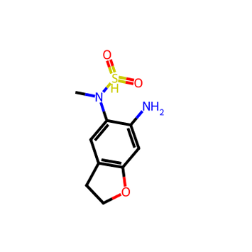 CN(c1cc2c(cc1N)OCC2)[SH](=O)=O